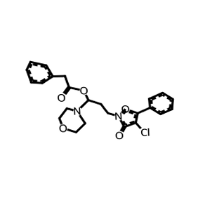 O=C(Cc1ccccc1)OC(CCn1oc(-c2ccccc2)c(Cl)c1=O)N1CCOCC1